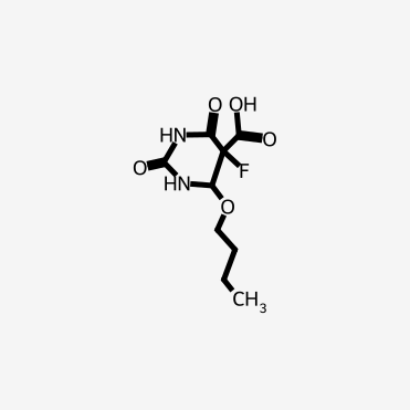 CCCCOC1NC(=O)NC(=O)C1(F)C(=O)O